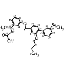 CCCCOc1cc(COc2cccc([C@@H](C)CC(=O)O)c2)ccc1-c1cccc(SC)c1